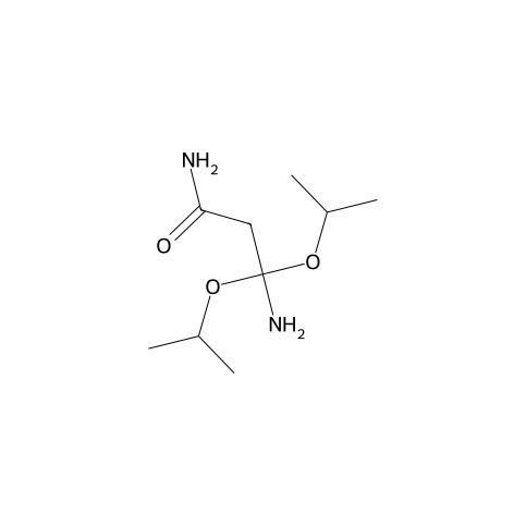 CC(C)OC(N)(CC(N)=O)OC(C)C